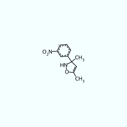 CC1=CC(C)(c2cc[c]c([N+](=O)[O-])c2)NO1